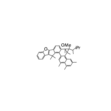 COC1(C(C)C(C)C)C2(C)c3ccc4c(c3-c3cc(C)c5c(C)cc(C)cc5c3C21C)C(C)(C)c1c-4oc2ccccc12